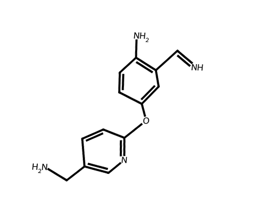 N=Cc1cc(Oc2ccc(CN)cn2)ccc1N